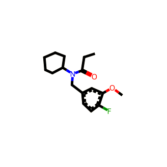 CCC(=O)N(Cc1ccc(F)c(OC)c1)C1CCCCC1